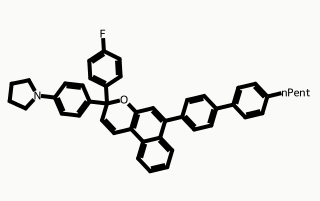 CCCCCc1ccc(-c2ccc(-c3cc4c(c5ccccc35)C=CC(c3ccc(F)cc3)(c3ccc(N5CCCC5)cc3)O4)cc2)cc1